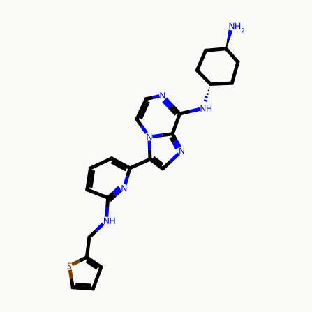 N[C@H]1CC[C@H](Nc2nccn3c(-c4cccc(NCc5cccs5)n4)cnc23)CC1